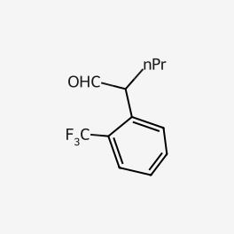 CCCC(C=O)c1ccccc1C(F)(F)F